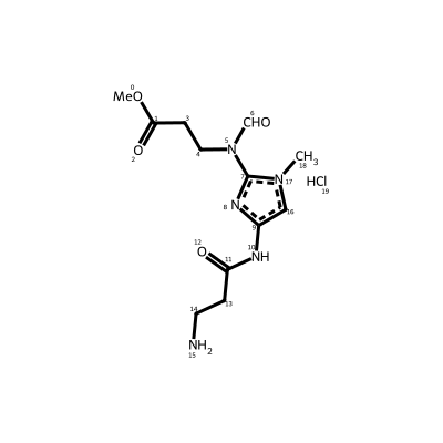 COC(=O)CCN(C=O)c1nc(NC(=O)CCN)cn1C.Cl